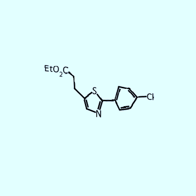 CCOC(=O)CCc1cnc(-c2ccc(Cl)cc2)s1